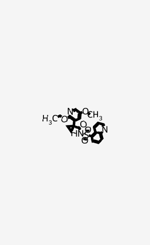 CCOc1ncc(OC)cc1C1(C(=O)NS(=O)(=O)c2cccc3ncccc23)CC1